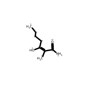 CCCCC(O)=C(C)C(N)=O